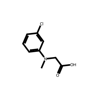 CN(CC(=O)O)c1cccc(Cl)c1